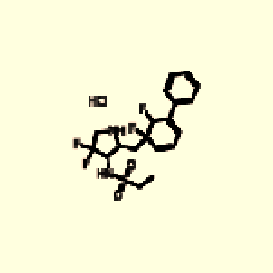 CCS(=O)(=O)N[C@@H]1[C@H](CC2(F)C=CC=C(c3ccccc3)C2F)NCC1(F)F.Cl